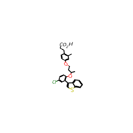 Cc1cc(OCCC(C)Oc2ccc(Cl)cc2-c2csc3ccccc23)ccc1CCC(=O)O